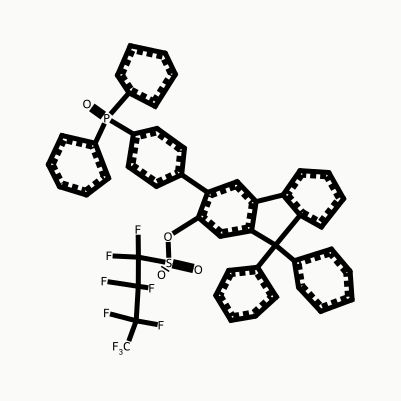 O=P(c1ccccc1)(c1ccccc1)c1ccc(-c2cc3c(cc2OS(=O)(=O)C(F)(F)C(F)(F)C(F)(F)C(F)(F)F)C(c2ccccc2)(c2ccccc2)c2ccccc2-3)cc1